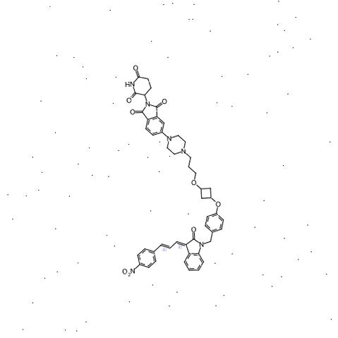 O=C1CCC(N2C(=O)c3ccc(N4CCN(CCCOC5CC(Oc6ccc(CN7C(=O)/C(=C/C=C/c8ccc([N+](=O)[O-])cc8)c8ccccc87)cc6)C5)CC4)cc3C2=O)C(=O)N1